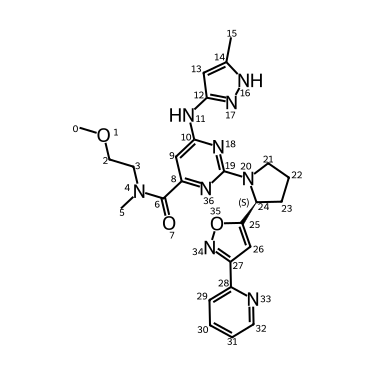 COCCN(C)C(=O)c1cc(Nc2cc(C)[nH]n2)nc(N2CCC[C@H]2c2cc(-c3ccccn3)no2)n1